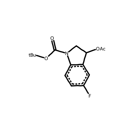 CC(=O)OC1CN(C(=O)OC(C)(C)C)c2ccc(F)cc21